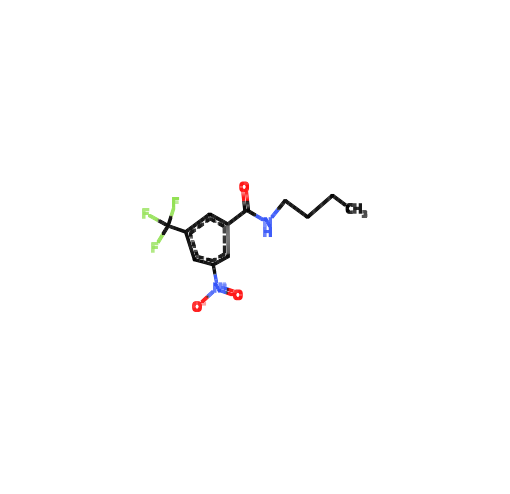 CCCCNC(=O)c1cc([N+](=O)[O-])cc(C(F)(F)F)c1